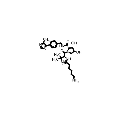 Cc1ncsc1-c1ccc(CNC(=O)[C@@H]2C[C@@H](O)CN2C(=O)[C@@H](NC(=O)CCCCCN)C(C)(C)C)cc1.Cl